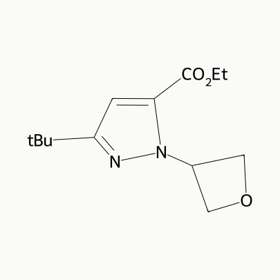 CCOC(=O)c1cc(C(C)(C)C)nn1C1COC1